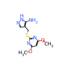 COc1cc(OC)nc(SCc2cn[nH]c2N)n1